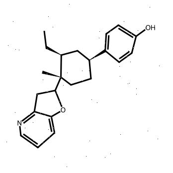 CC[C@H]1C[C@@H](c2ccc(O)cc2)CC[C@]1(C)C1Cc2ncccc2O1